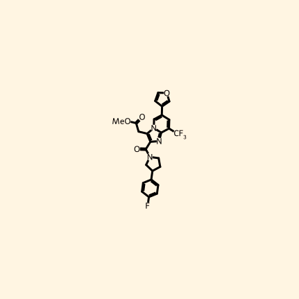 COC(=O)Cc1c(C(=O)N2CCC(c3ccc(F)cc3)C2)nc2c(C(F)(F)F)cc(-c3ccoc3)cn12